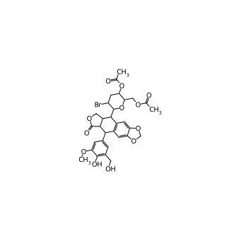 COc1cc(C2c3cc4c(cc3C(C3OC(COC(C)=O)C(OC(C)=O)CC3Br)C3COC(=O)C23)OCO4)cc(CO)c1O